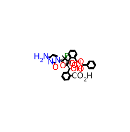 C[C@]1(F)[C@H](n2ccc(N)nc2=O)O[C@H](C(O)c2ccccc2C(=O)O)[C@]1(O)c1ccccc1C(=O)OC(=O)c1ccccc1